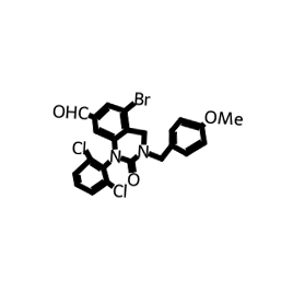 COc1ccc(CN2Cc3c(Br)cc(C=O)cc3N(c3c(Cl)cccc3Cl)C2=O)cc1